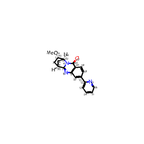 CO[C@H]1C[C@H]2C[C@@H]1n1c2nc2cc(-c3ccccn3)ccc2c1=O